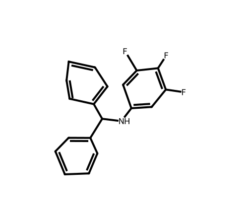 Fc1cc(NC(c2ccccc2)c2ccccc2)cc(F)c1F